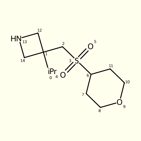 CC(C)C1(CS(=O)(=O)C2CCOCC2)CNC1